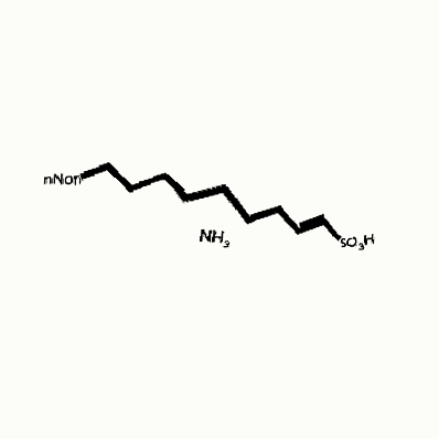 CCCCCCCCCCCCCCCCC=CS(=O)(=O)O.N